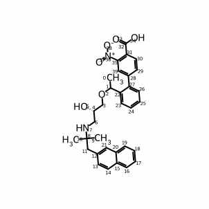 CC(OC[C@@H](O)CNC(C)(C)Cc1ccc2ccccc2c1)c1ccccc1-c1ccc(C(=O)O)c([N+](=O)[O-])c1